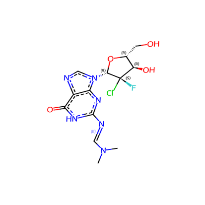 CN(C)/C=N/c1nc2c(ncn2[C@@H]2O[C@H](CO)[C@@H](O)[C@]2(F)Cl)c(=O)[nH]1